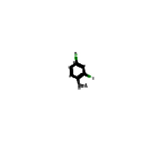 CCCC(C)c1ccc(F)cc1F